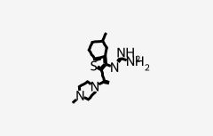 C=C(c1sc2c(c1N=C(N)N)CC(C)CC2)N1CCN(C)CC1